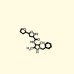 CC1NN(Cc2ccccc2)C(C)C1NC(=O)C1CC(C2CCCO2)ON1